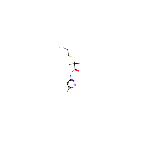 CC(C)CCSC(C)(C)C(=O)Nc1cc(C(C)(C)C)on1